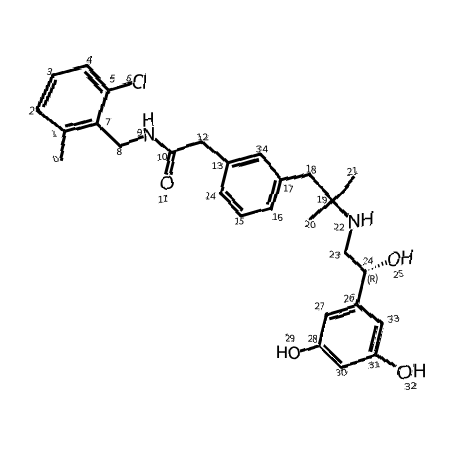 Cc1cccc(Cl)c1CNC(=O)Cc1cccc(CC(C)(C)NC[C@H](O)c2cc(O)cc(O)c2)c1